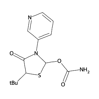 CC(C)(C)C1SC(OC(N)=O)N(c2cccnc2)C1=O